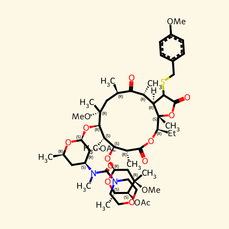 CC[C@H]1OC(=O)[C@H](C)[C@@H](O[C@H]2C[C@@](C)(OC)[C@@H](OC(C)=O)[C@H](C)O2)[C@H](C)[C@@H](O[C@@H]2O[C@H](C)C[C@H](N(C)C(=O)N3CCOCC3)[C@H]2OC(C)=O)[C@](C)(OC)C[C@@H](C)C(=O)[C@H](C)[C@H]2C(SCc3ccc(OC)cc3)C(=O)O[C@@]21C